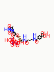 Cc1cn([C@H]2C[C@@H](OCSSC(C)(C)CNC(=O)CCCCNC(=O)c3ccc(B(O)O)cc3)C(COP(=O)(O)OP(=O)(O)OP(=O)(O)O)O2)c(=O)[nH]c1=O